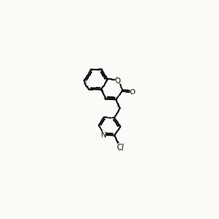 O=c1oc2ccccc2cc1Cc1ccnc(Cl)c1